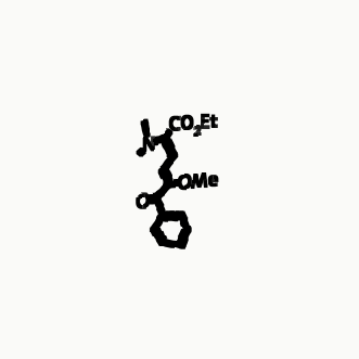 CCOC(=O)/C(=C/C=C(\OC)C(=O)c1ccccc1)N(C)C